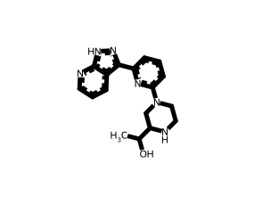 CC(O)C1CN(c2cccc(-c3n[nH]c4ncccc34)n2)CCN1